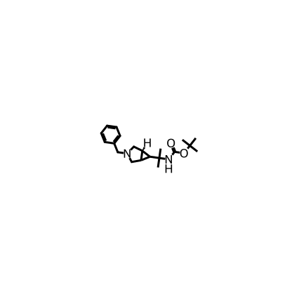 CC(C)(C)OC(=O)NC(C)(C)C1C2CN(Cc3ccccc3)C[C@@H]21